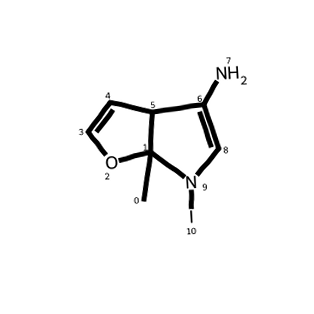 CC12OC=CC1C(N)=CN2I